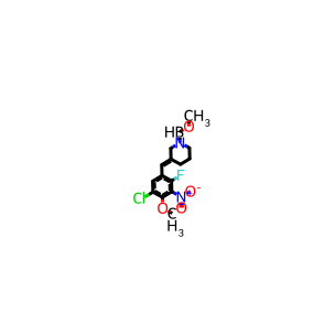 COBN1CCC/C(=C\c2cc(Cl)c(OC)c([N+](=O)[O-])c2F)C1